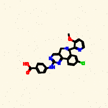 COc1cccnc1C1=NCc2cnc(Nc3ccc(C(=O)O)cc3)nc2-c2ccc(Cl)cc21